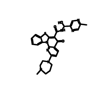 Cc1cnc(C(O)NC(=O)c2c(=O)c3ccc(N4CCCN(C)CC4)nc3n3c2sc2ccccc23)cn1